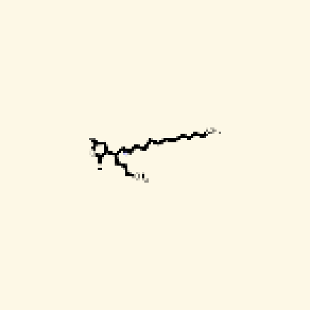 CCCCCCCCCCC/C=C/C(CCCC)C1CC(=O)OC1=O